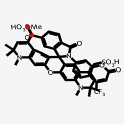 COC(=O)c1ccc2c(c1)C1(c3cc4c(cc3Oc3cc5c(cc31)C(CS(=O)(=O)O)=CC(C)(C)N5C)N(C)C(C)(C)C=C4CS(=O)(=O)O)N(c1ccc3c(C(F)(F)F)cc(=O)oc3c1)C2=O